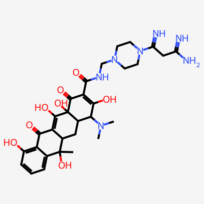 CN(C)C1C(O)=C(C(=O)NCN2CCN(C(=N)CC(=N)N)CC2)C(=O)C2(O)C(O)=C3C(=O)c4c(O)cccc4C(C)(O)C3CC12